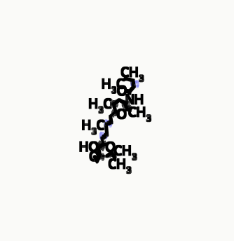 CC[C@@]1(C)C[C@@]2(CO2)[C@H](O)[C@@H](/C=C/C(C)=C/C[C@@H]2O[C@H](C)[C@H](NC(=O)/C=C\C(C)C)C[C@@H]2C)O1